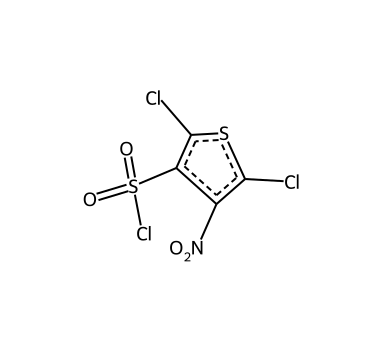 O=[N+]([O-])c1c(Cl)sc(Cl)c1S(=O)(=O)Cl